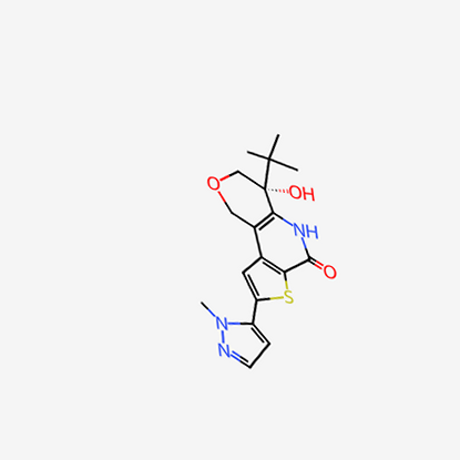 Cn1nccc1-c1cc2c3c([nH]c(=O)c2s1)[C@](O)(C(C)(C)C)COC3